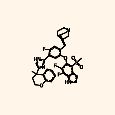 CC1(c2c[nH]c(-c3cc(Oc4c(F)c(F)c5[nH]ccc5c4S(C)(=O)=O)c(/C=C4/CN5CCC4CC5)cc3F)n2)CCOc2ccccc21